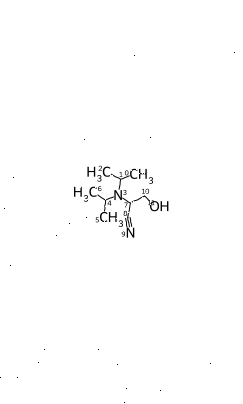 CC(C)N(C(C)C)C(C#N)CO